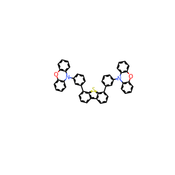 c1cc(-c2cccc3c2sc2c(-c4cccc(N5c6ccccc6Oc6ccccc65)c4)cccc23)cc(N2c3ccccc3Oc3ccccc32)c1